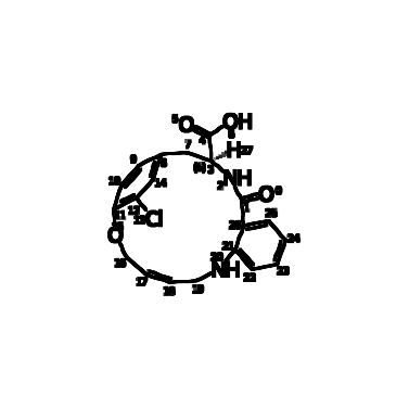 O=C1N[C@H](C(=O)O)Cc2ccc(c(Cl)c2)OCC=CCNc2ccccc21